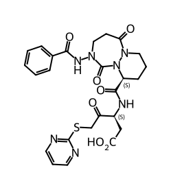 O=C(O)C[C@H](NC(=O)[C@@H]1CCCN2C(=O)CCN(NC(=O)c3ccccc3)C(=O)N12)C(=O)CSc1ncccn1